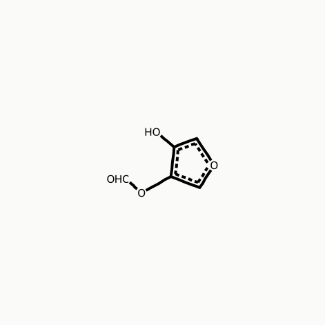 O=COc1cocc1O